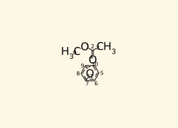 COC(C)=O.c1cc2cc(c1)O2